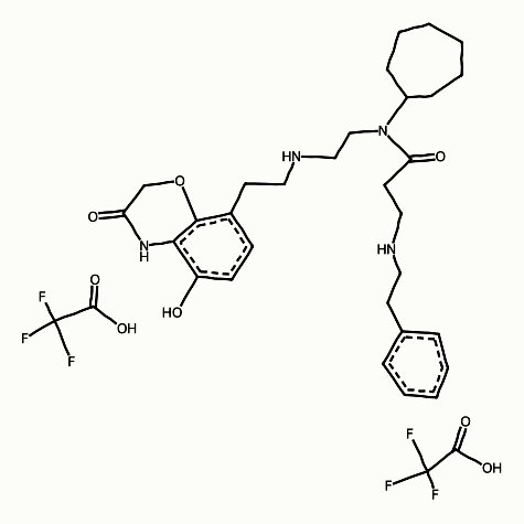 O=C(O)C(F)(F)F.O=C(O)C(F)(F)F.O=C1COc2c(CCNCCN(C(=O)CCNCCc3ccccc3)C3CCCCCC3)ccc(O)c2N1